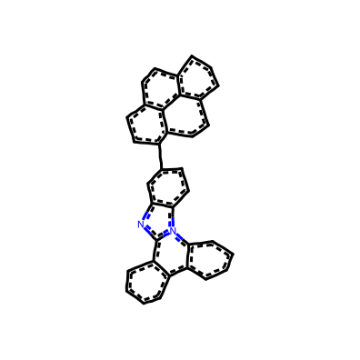 c1cc2ccc3ccc(-c4ccc5c(c4)nc4c6ccccc6c6ccccc6n54)c4ccc(c1)c2c34